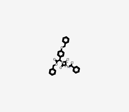 O=C(OCc1ccccc1)C(c1ccc(OCc2ccccc2)cc1)N1C(=O)[C@@H](/N=C(\Cl)c2ccccc2)[C@@H]1Cl